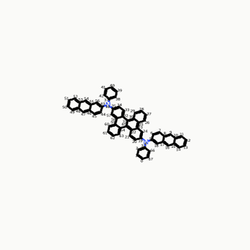 c1ccc(N(c2ccc3cc4ccccc4cc3c2)c2ccc3c(c2)c2ccccc2c2c4ccc(N(c5ccccc5)c5ccc6cc7ccccc7cc6c5)cc4c4ccccc4c32)cc1